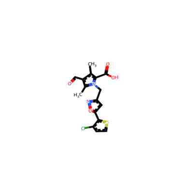 Cc1c(C=O)c(C)n(Cc2cc(-c3sccc3Cl)on2)c1C(=O)O